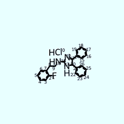 Cl.Fc1ccccc1CCNC1=NC(c2ccccc2)C(c2ccccc2)N1